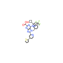 C[C@@H](Nc1nc(C(=O)O)nc2nc(-c3cc(-c4cccs4)ccn3)n(Cc3ccc(C(F)(F)F)cc3)c12)C1CCC1